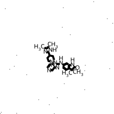 Cc1nc(C2CCN([N+]34C=CN=CC3=NC(Nc3ccc5c(c3)NC(=O)C5(C)C)=N4)CC2)[nH]c1C